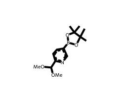 COC(OC)c1ccc(B2OC(C)(C)C(C)(C)O2)cn1